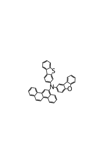 c1ccc2c(c1)ccc1c3ccccc3c(N(c3ccc4c(c3)sc3ccccc34)c3ccc4oc5ccccc5c4c3)cc21